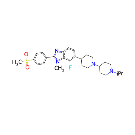 CC(C)N1CCC(N2CCC(c3ccc4nc(-c5ccc(S(C)(=O)=O)cc5)n(C)c4c3F)CC2)CC1